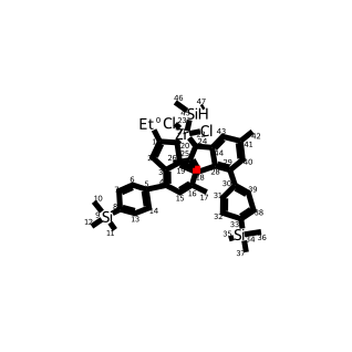 CCC1=Cc2c(-c3ccc([Si](C)(C)C)cc3)cc(C)cc2[CH]1[Zr]([Cl])([Cl])([CH]1C(C)=Cc2c(-c3ccc([Si](C)(C)C)cc3)cc(C)cc21)[SiH](C)C